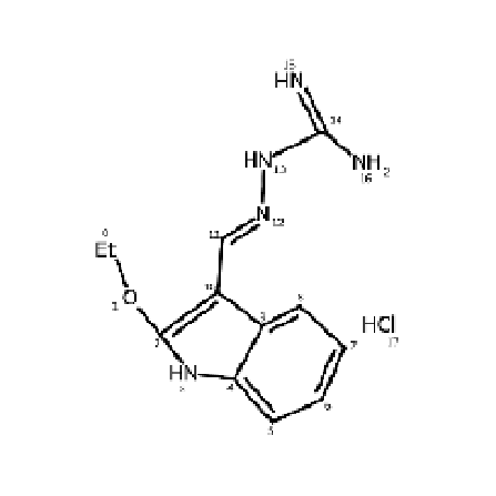 CCOc1[nH]c2ccccc2c1C=NNC(=N)N.Cl